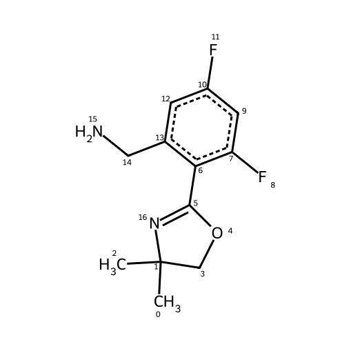 CC1(C)COC(c2c(F)cc(F)cc2CN)=N1